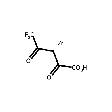 O=C(O)C(=O)CC(=O)C(F)(F)F.[Zr]